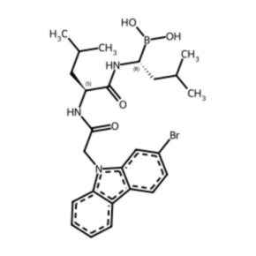 CC(C)C[C@H](NC(=O)[C@H](CC(C)C)NC(=O)Cn1c2ccccc2c2ccc(Br)cc21)B(O)O